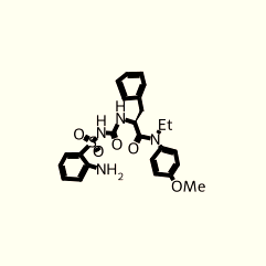 CCN(C(=O)[C@H](Cc1ccccc1)NC(=O)NS(=O)(=O)c1ccccc1N)c1ccc(OC)cc1